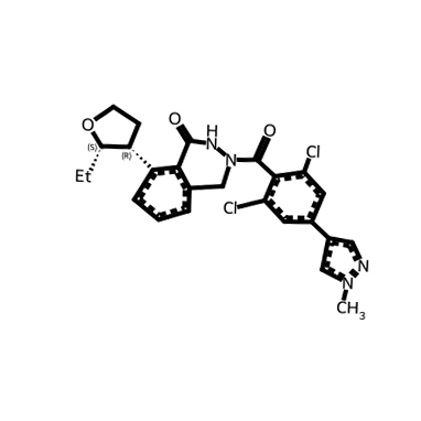 CC[C@@H]1OCC[C@@H]1c1cccc2c1C(=O)NN(C(=O)c1c(Cl)cc(-c3cnn(C)c3)cc1Cl)C2